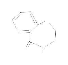 O=C1NCCOc2cccnc21